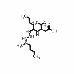 CCCCC(NNNN(C)CCCC)N[C@H](CC(=O)O)C(C)C